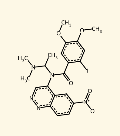 COc1cc(I)c(C(=O)N(c2cnnc3ccc([N+](=O)[O-])cc23)C(C)N(C)C)cc1OC